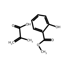 C=C(C)C(=O)O.COC(=O)c1ccccc1O